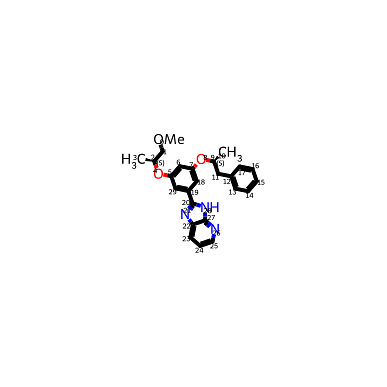 COC[C@H](C)Oc1cc(O[C@@H](C)Cc2ccccc2)cc(-c2nc3cccnc3[nH]2)c1